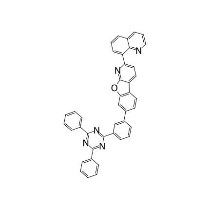 c1ccc(-c2nc(-c3ccccc3)nc(-c3cccc(-c4ccc5c(c4)oc4nc(-c6cccc7cccnc67)ccc45)c3)n2)cc1